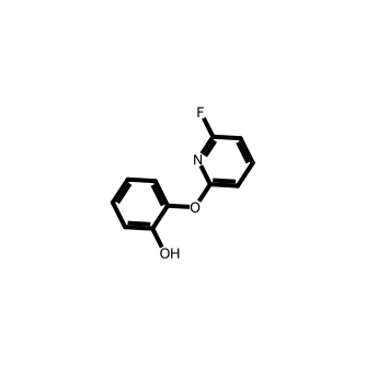 Oc1ccccc1Oc1cccc(F)n1